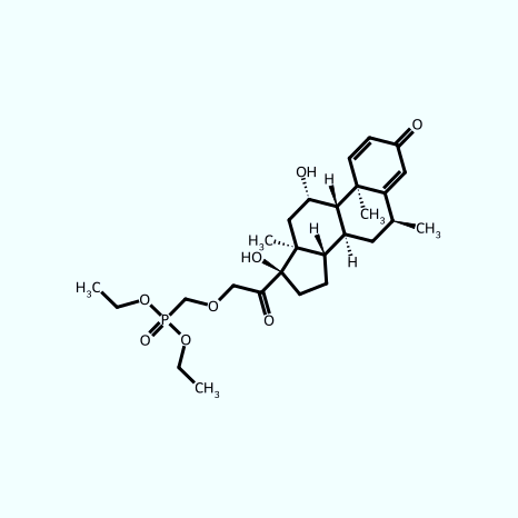 CCOP(=O)(COCC(=O)[C@@]1(O)CC[C@H]2[C@@H]3C[C@H](C)C4=CC(=O)C=C[C@]4(C)[C@H]3[C@@H](O)C[C@@]21C)OCC